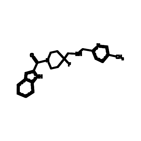 Cc1ccc(CNCC2(F)CCN(C(=O)c3cc4ccccc4[nH]3)CC2)nc1